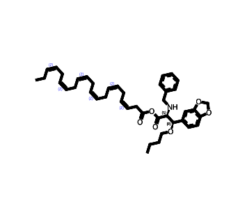 CC/C=C\C/C=C\C/C=C\C/C=C\C/C=C\C/C=C\CC(=O)OC(=O)[C@@H](NCc1ccccc1)[C@H](OCCCC)c1ccc2c(c1)OCO2